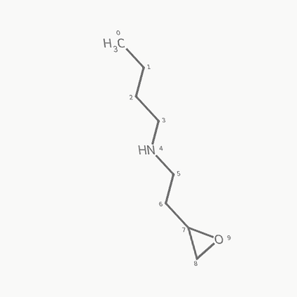 CCCCNCCC1CO1